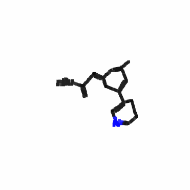 C=C(/C=C1/C=C(C)C=C(C2=CN=CCC2)C1)CCCC